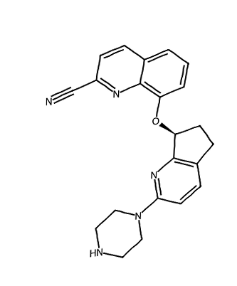 N#Cc1ccc2cccc(O[C@H]3CCc4ccc(N5CCNCC5)nc43)c2n1